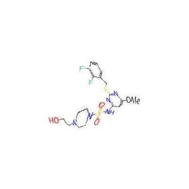 COc1cc(NS(=O)(=O)N2CCN(CCO)CC2)nc(SCc2cccc(F)c2F)n1